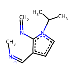 C=Nc1c(/C=N\C)ccn1C(C)C